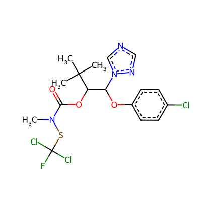 CN(SC(F)(Cl)Cl)C(=O)OC(C(Oc1ccc(Cl)cc1)n1cncn1)C(C)(C)C